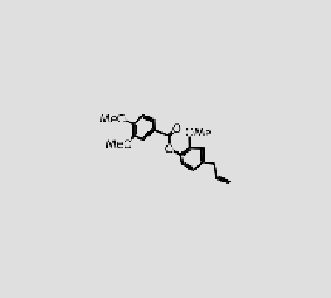 C=CCc1ccc(OC(=O)c2ccc(OC)c(OC)c2)c(OC)c1